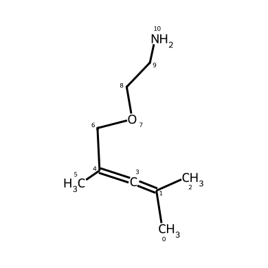 CC(C)=C=C(C)COCCN